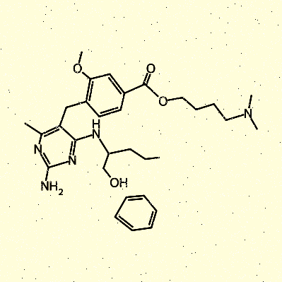 CCCC(CO)Nc1nc(N)nc(C)c1Cc1ccc(C(=O)OCCCCN(C)C)cc1OC.c1ccccc1